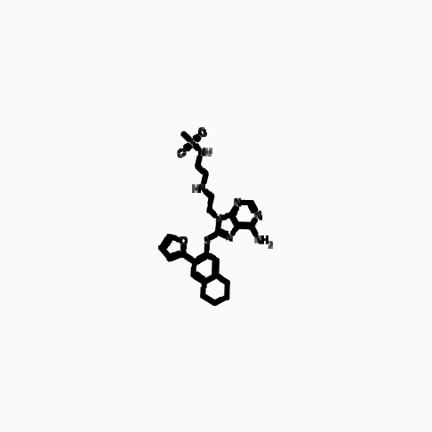 CS(=O)(=O)NCCNCCn1c(Sc2cc3c(cc2-c2ccco2)CCCC3)nc2c(N)ncnc21